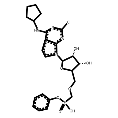 O=P(O)(COCC1OC(n2ccc3c(NC4CCCC4)nc(Cl)nc32)[C@H](O)[C@@H]1O)Oc1ccccc1